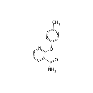 Cc1ccc(Oc2ncccc2C(N)=O)cc1